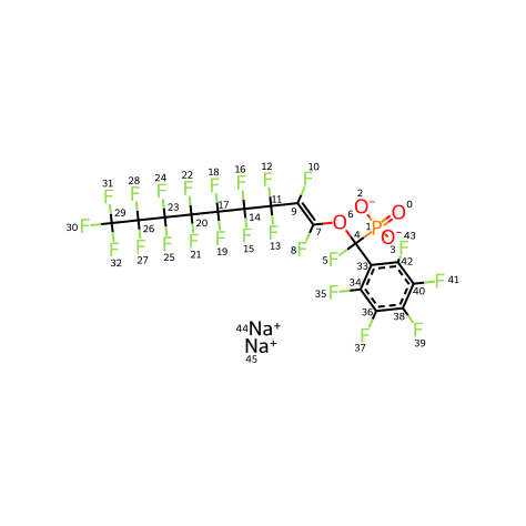 O=P([O-])([O-])C(F)(OC(F)=C(F)C(F)(F)C(F)(F)C(F)(F)C(F)(F)C(F)(F)C(F)(F)C(F)(F)F)c1c(F)c(F)c(F)c(F)c1F.[Na+].[Na+]